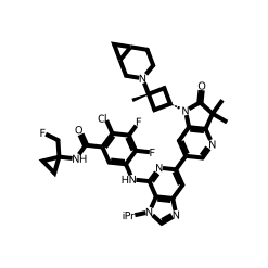 CC(C)n1cnc2cc(-c3cnc4c(c3)N([C@H]3C[C@@](C)(N5CCC6CC6C5)C3)C(=O)C4(C)C)nc(Nc3cc(C(=O)NC4(CF)CC4)c(Cl)c(F)c3F)c21